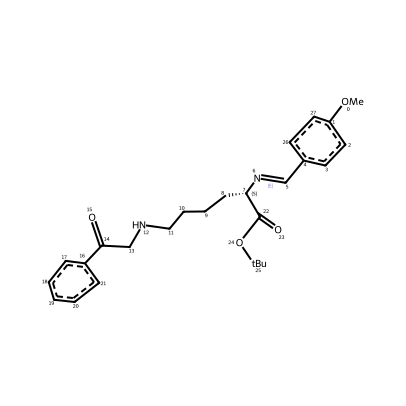 COc1ccc(/C=N/[C@@H](CCCCNCC(=O)c2ccccc2)C(=O)OC(C)(C)C)cc1